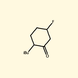 CCC(C)C1CCC(F)CC1=O